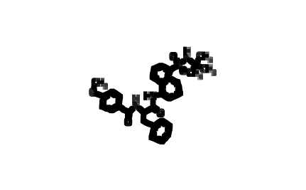 COc1ccc(C(=O)NC(Cc2ccccc2)C(=O)Nc2cccc3c(S(=O)(=O)NC(C)(C)C)cccc23)cc1